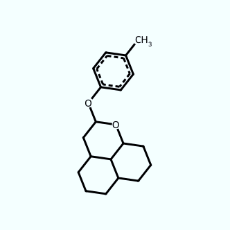 Cc1ccc(OC2CC3CCCC4CCCC(O2)C43)cc1